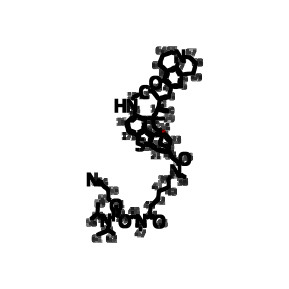 C=C1C2=Cc3cc4c5c(c3OC2CCNc2ccc3sc6ccccc6c3c2C1(C)CCCCCC(=O)N(C)CCCCCC(=O)N(C)COP(OCCC#N)N(C(C)C)C(C)C)CCCN5CCC4